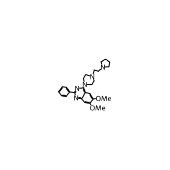 COc1cc2nc(-c3ccccc3)nc(N3CCN(CCN4CCCC4)CC3)c2cc1OC